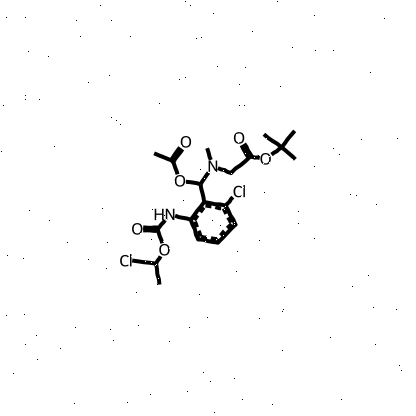 CC(=O)OC(c1c(Cl)cccc1NC(=O)OC(C)Cl)N(C)CC(=O)OC(C)(C)C